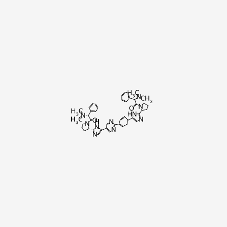 CN(C)[C@@H](C(=O)N1CCC[C@H]1c1ncc(-c2ccc(-c3ncc(-c4cnc([C@@H]5CCCN5C(=O)[C@@H](c5ccccc5)N(C)C)[nH]4)cn3)cc2)[nH]1)c1ccccc1